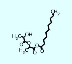 C=CCCCCCCCCC(=O)OC(=O)C(C)OC(=O)C(C)O